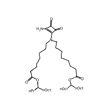 CCCCCCCCC(CCC)OC(=O)CCCCCCCN(CCCCCCCC(=O)OC(CCCCCCCC)CCCCCCCC)c1c(N)c(=O)c1=O